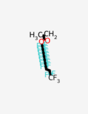 C=C(C)C(=O)OC(F)(F)C(F)(F)C(F)(F)C(F)(F)C(F)(F)C(F)(F)C(F)(F)CCC(F)(F)C(F)(F)F